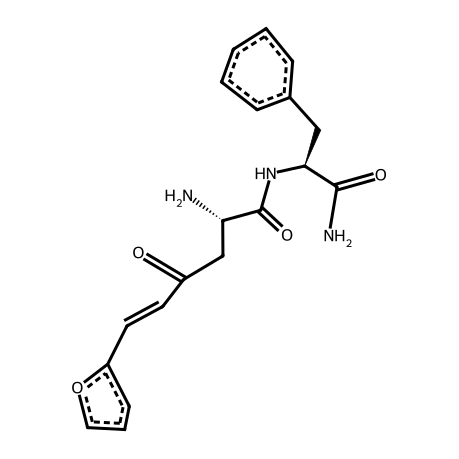 NC(=O)[C@H](Cc1ccccc1)NC(=O)[C@@H](N)CC(=O)C=Cc1ccco1